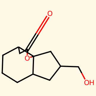 O=C1CC2CCCC3CC(CO)CC23O1